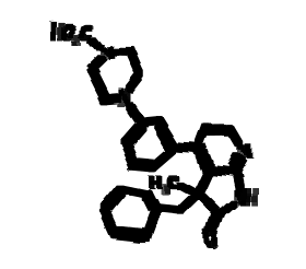 CC1(Cc2ccccc2)C(=O)Nc2nccc(-c3cccc(N4CCN(C(=O)O)CC4)c3)c21